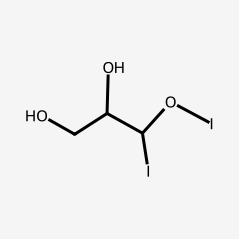 OCC(O)C(I)OI